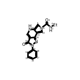 CCNC(=O)n1cc2[nH]cc3c(=O)n(-c4ccccc4)nc-3c2c1